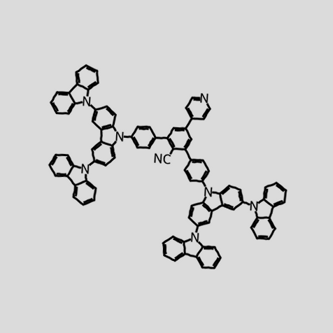 N#Cc1c(-c2ccc(-n3c4ccc(-n5c6ccccc6c6ccccc65)cc4c4cc(-n5c6ccccc6c6ccccc65)ccc43)cc2)cc(-c2ccncc2)cc1-c1ccc(-n2c3ccc(-n4c5ccccc5c5ccccc54)cc3c3cc(-n4c5ccccc5c5ccccc54)ccc32)cc1